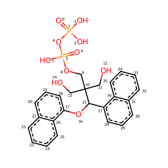 O=P(O)(O)OP(=O)(O)OCC(CO)(CO)C(Oc1cccc2ccccc12)c1cccc2ccccc12